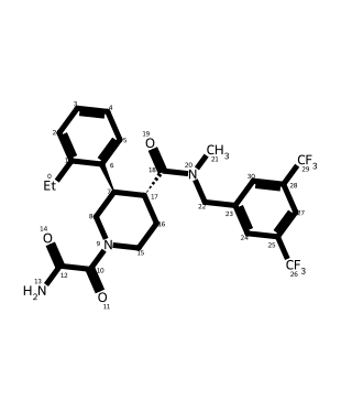 CCc1ccccc1[C@@H]1CN(C(=O)C(N)=O)CC[C@H]1C(=O)N(C)Cc1cc(C(F)(F)F)cc(C(F)(F)F)c1